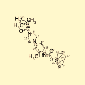 Cc1cc(N2CCN(C(=O)OC(C)(C)C)CC2)ccc1NC(=O)CC12CC3CC(CC(C3)C1)C2